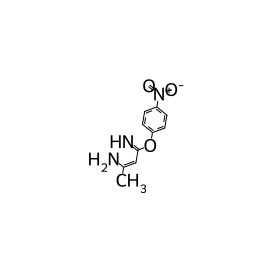 C/C(N)=C/C(=N)Oc1ccc([N+](=O)[O-])cc1